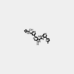 Cc1ccc(-c2cncc3[nH]c(-c4n[nH]c5cnc(-c6cncc(NC(O)C7CCC7)c6)cc45)nc23)s1